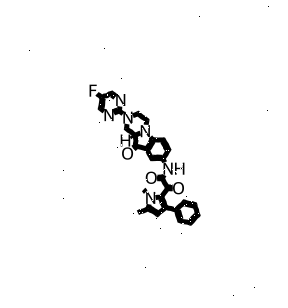 Cc1cc(-c2ccccc2)c(C(=O)C(=O)Nc2ccc3c(c2)C(=O)[C@@H]2CN(c4ncc(F)cn4)CCN32)n1C